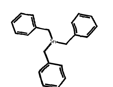 c1ccc([CH2][Sn]([CH2]c2ccccc2)[CH2]c2ccccc2)cc1